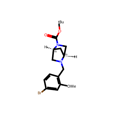 COc1cc(Br)ccc1CN1C[C@@H]2C[C@H]1CN2C(=O)OC(C)(C)C